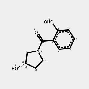 O=Cc1ccccc1C(=O)N1CC[C@H](O)C1